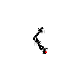 CC(C)(C)OC(=O)NCCOCCN1CCCn2nc(C(=O)Nc3nc4ccc(NS(=O)(=O)c5cccs5)cc4s3)cc2C1